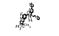 CC(C)[C@]1(F)CCc2nc3c(F)cc(C(=O)N[C@H](CCN4CCCC4)c4ccc(-c5ccnnc5)nc4)cc3cc2C1